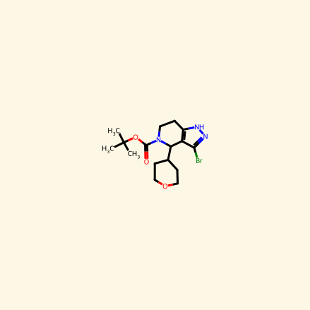 CC(C)(C)OC(=O)N1CCc2[nH]nc(Br)c2C1C1CCOCC1